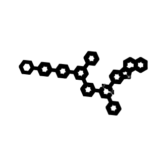 c1ccc(-c2cc(-c3ccc(-c4ccc(C5CCCCC5)cc4)cc3)cc(-c3cccc(-c4cc(-c5ccccc5)nc(-c5ccc6c(c5)oc5c7ccccc7ccc65)n4)c3)c2)cc1